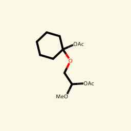 COC(COC1(OC(C)=O)CCCCC1)OC(C)=O